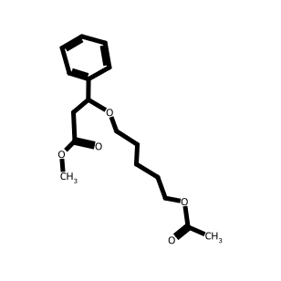 COC(=O)CC(OCCCCCOC(C)=O)c1ccccc1